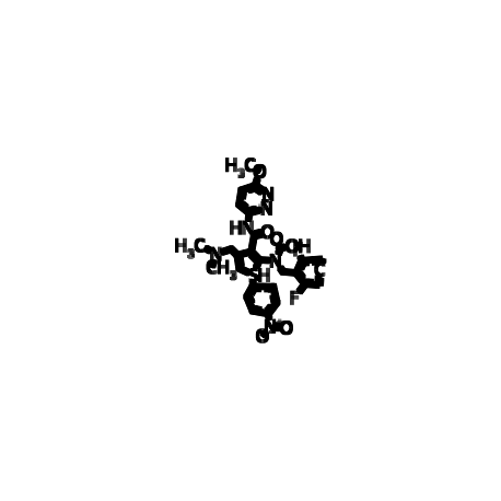 COc1ccc(NC(=O)C2=C(N(Cc3c(F)cccc3F)C(=O)O)[SH](c3ccc([N+](=O)[O-])cc3)C=C2CN(C)C)nn1